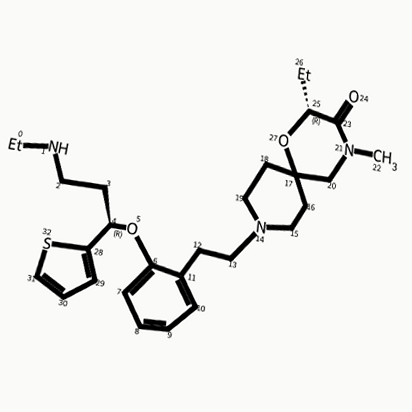 CCNCC[C@@H](Oc1ccccc1CCN1CCC2(CC1)CN(C)C(=O)[C@@H](CC)O2)c1cccs1